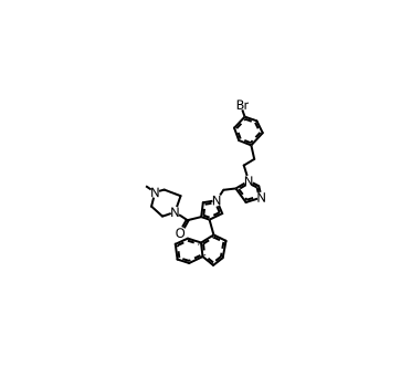 CN1CCN(C(=O)c2cn(Cc3cncn3CCc3ccc(Br)cc3)cc2-c2cccc3ccccc23)CC1